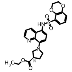 CCOC(=O)[C@@H]1CCN(c2ccc(NS(=O)(=O)c3cccc4c3OCCO4)c3cccnc23)C1